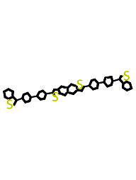 c1ccc2c(-c3ccc(-c4ccc(-c5cc6cc7cc8sc(-c9ccc(-c%10ccc(-c%11csc%12ccccc%11%12)cc%10)cc9)cc8cc7cc6s5)cc4)cc3)csc2c1